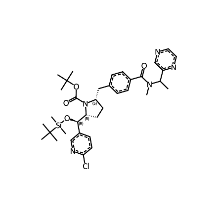 CC(c1cnccn1)N(C)C(=O)c1ccc(C[C@@H]2CC[C@H]([C@H](O[Si](C)(C)C(C)(C)C)c3ccc(Cl)nc3)N2C(=O)OC(C)(C)C)cc1